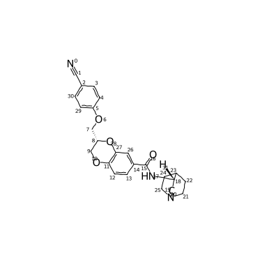 N#Cc1ccc(OC[C@H]2COc3ccc(C(=O)N[C@H]4CN5CCC4CC5)cc3O2)cc1